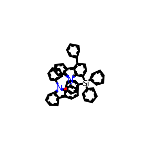 c1ccc(-c2ccc([Si](c3ccccc3)(c3ccccc3)c3ccccc3)c3c2c2ccccc2n3-c2cccc3c4ccccc4n(-c4ccccc4)c23)cc1